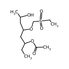 CCC(CC(CC(C)O)OCS(=O)(=O)CC)OC(C)=O